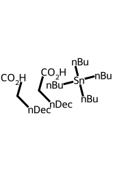 CCCCCCCCCCCC(=O)O.CCCCCCCCCCCC(=O)O.CCC[CH2][Sn]([CH2]CCC)([CH2]CCC)[CH2]CCC